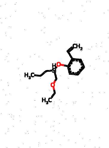 C=Cc1ccccc1O[SiH](CCC)COCC